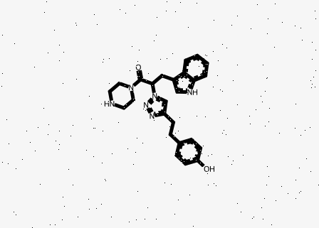 O=C(C(Cc1c[nH]c2ccccc12)n1cc(CCc2ccc(O)cc2)nn1)N1CCNCC1